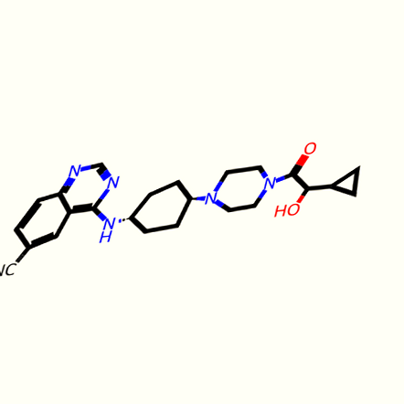 N#Cc1ccc2ncnc(N[C@H]3CC[C@H](N4CCN(C(=O)C(O)C5CC5)CC4)CC3)c2c1